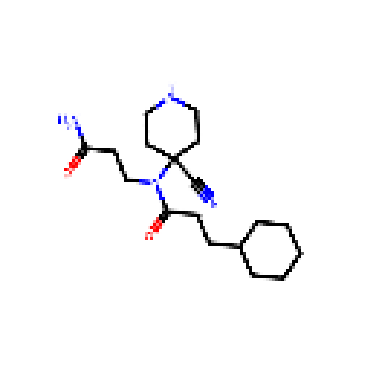 N#CC1(N(CCC(N)=O)C(=O)[CH]CC2CCCCC2)CCNCC1